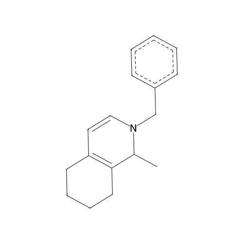 CC1C2=C(C=CN1Cc1ccccc1)CCCC2